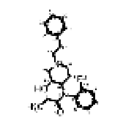 CCC(=O)N(c1ccccc1F)[C@@H]1CCN(CCc2ccccc2)C[C@@H]1O